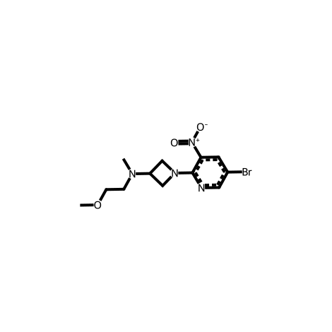 COCCN(C)C1CN(c2ncc(Br)cc2[N+](=O)[O-])C1